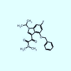 CC(C)n1cc(C(=O)C(=O)N(C)C)c2c(OCc3ccccc3)cc(F)cc21